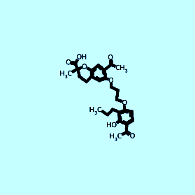 CCCc1c(OCCCOc2cc3c(cc2C(C)=O)OC(C)(C(=O)O)CC3)ccc(C(C)=O)c1O